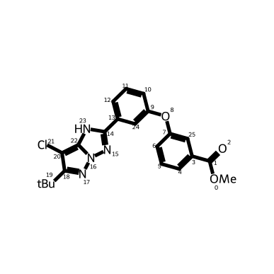 COC(=O)c1cccc(Oc2cccc(-c3nn4nc(C(C)(C)C)c(Cl)c4[nH]3)c2)c1